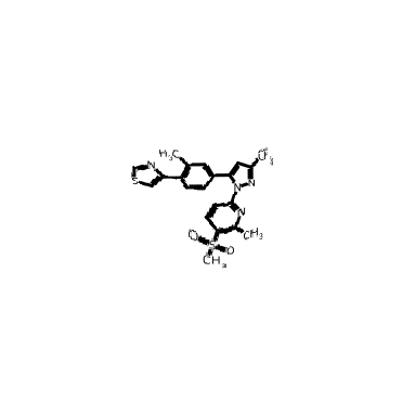 Cc1cc(-c2cc(C(F)(F)F)nn2-c2ccc(S(C)(=O)=O)c(C)n2)ccc1-c1cscn1